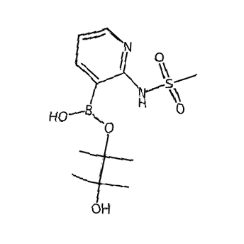 CC(C)(O)C(C)(C)OB(O)c1cccnc1NS(C)(=O)=O